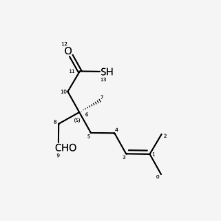 CC(C)=CCC[C@@](C)(CC=O)CC(=O)S